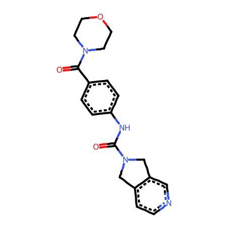 O=C(Nc1ccc(C(=O)N2CCOCC2)cc1)N1Cc2ccncc2C1